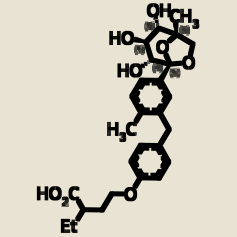 CCC(CCOc1ccc(Cc2cc([C@]34OC[C@](C)(O3)[C@@H](O)[C@H](O)[C@H]4O)ccc2C)cc1)C(=O)O